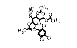 CC(=O)OCC1O[C@H](Sc2cc(Cl)c(Cl)cc2Cl)C(OC(C)=O)[C@@H](N=[N+]=[N-])[C@H]1OC(C)=O